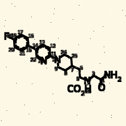 NC(=O)CN(CCC1CCN(c2ccc(-c3ccc(F)cc3)cn2)CC1)C(=O)O